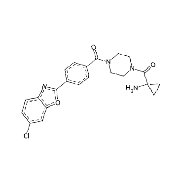 NC1(C(=O)N2CCN(C(=O)c3ccc(-c4nc5ccc(Cl)cc5o4)cc3)CC2)CC1